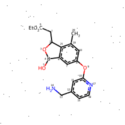 CCOC(=O)CC1OB(O)c2cc(Oc3cc(CN)ccn3)cc(C)c21